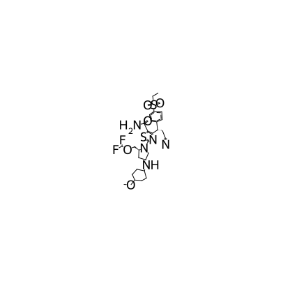 CCS(=O)(=O)c1ccc([C@H](CC#N)c2nc(N3C[C@@H](NC4CCC(OC)CC4)C[C@H]3COC(F)F)sc2C(N)=O)cc1